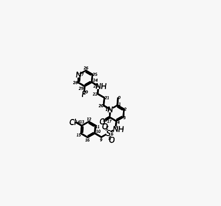 Cc1ccc(NS(=O)(=O)Cc2ccc(Cl)cc2)c(=O)n1CCCNc1ccncc1F